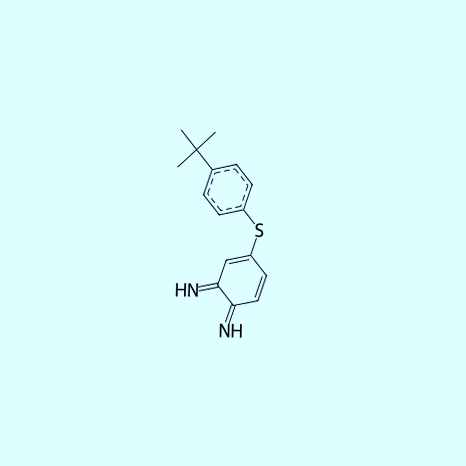 CC(C)(C)c1ccc(SC2=CC(=N)C(=N)C=C2)cc1